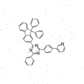 c1ccc(-c2nc(-c3ccc(-c4cccnc4)cc3)nc(-c3ccc4c(c3)C(c3ccccc3)(c3ccccc3)c3ccccc3-4)n2)cc1